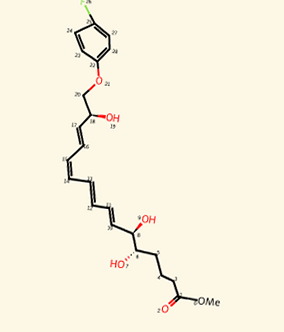 COC(=O)CCC[C@H](O)[C@H](O)/C=C/C=C/C=C\C=C\[C@H](O)COc1ccc(F)cc1